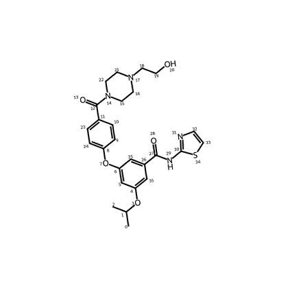 CC(C)Oc1cc(Oc2ccc(C(=O)N3CCN(CCO)CC3)cc2)cc(C(=O)Nc2nccs2)c1